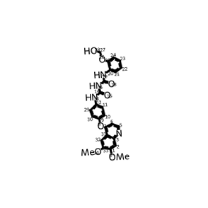 COc1cc2nccc(Oc3ccc(NC(=O)NC(=O)Nc4ccccc4OCO)cc3)c2cc1OC